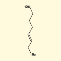 CCCCCC=CCCC[C]=O